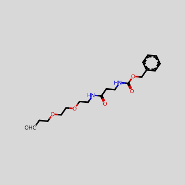 O=CCCOCCOCCNC(=O)CCNC(=O)OCc1ccccc1